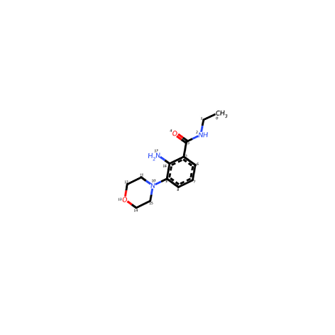 CCNC(=O)c1cccc(N2CCOCC2)c1N